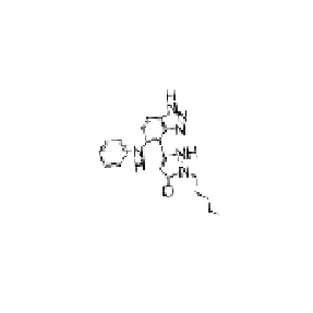 CCCCCn1[nH]c(-c2c(Nc3ccccc3)ccc3[nH]nnc23)cc1=O